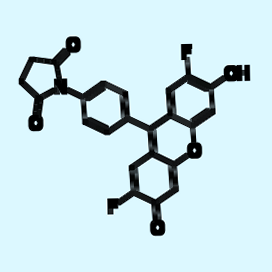 O=C1CCC(=O)N1c1ccc(-c2c3cc(F)c(=O)cc-3oc3cc(O)c(F)cc23)cc1